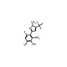 Cn1nc(-c2c(F)cc(Cl)c(O)c2N)cc1C(F)(F)F